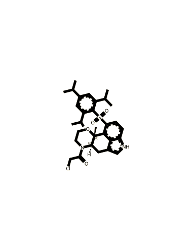 CC(C)c1cc(C(C)C)c(S(=O)(=O)c2ccc3[nH]cc4c3c2[C@@]2(C)OCCN(C(=O)CCl)[C@@H]2C4)c(C(C)C)c1